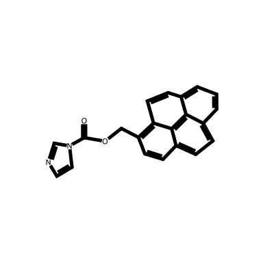 O=C(OCc1ccc2ccc3cccc4ccc1c2c34)n1ccnc1